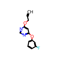 C#CCOc1cc(Oc2cccc(F)c2)ncn1